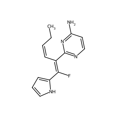 CC/C=C\C(=C(\F)c1ccc[nH]1)c1nccc(N)n1